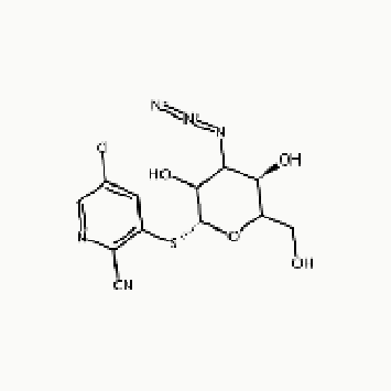 N#Cc1ncc(Cl)cc1S[C@H]1OC(CO)[C@H](O)C(N=[N+]=[N-])C1O